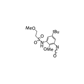 COCCS(=O)(=O)Nc1cc(C(C)(C)C)cc(N=C=O)c1OC